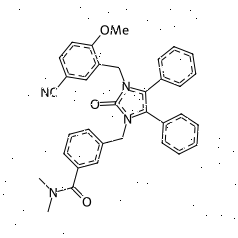 COc1ccc(C#N)cc1Cn1c(-c2ccccc2)c(-c2ccccc2)n(Cc2cccc(C(=O)N(C)C)c2)c1=O